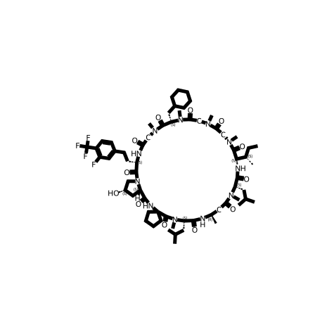 CC[C@H](C)[C@@H]1NC(=O)[C@H](CC(C)C)N(C)C(=O)C[C@@H](C)NC(=O)[C@H](CC(C)C)N(C)C(=O)C2(CCCC2)NC(=O)[C@@H]2C[C@H](O)CN2C(=O)[C@H](CCc2ccc(C(F)(F)F)c(F)c2)NC(=O)CN(C)C(=O)[C@H](CC2CCCCC2)N(C)C(=O)CN(C)C(=O)CN(C)C1=O